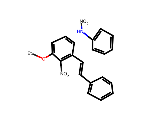 CCOc1cccc(C=Cc2ccccc2)c1[N+](=O)[O-].O=[N+]([O-])Nc1ccccc1